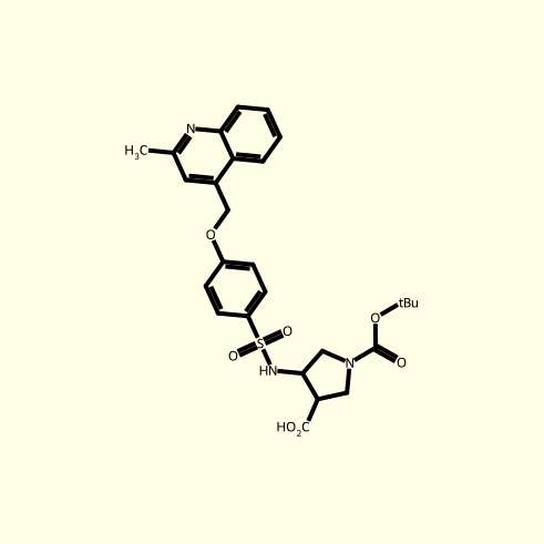 Cc1cc(COc2ccc(S(=O)(=O)NC3CN(C(=O)OC(C)(C)C)CC3C(=O)O)cc2)c2ccccc2n1